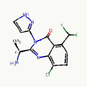 C[C@H](N)c1nc2c(Cl)ccc(C(F)F)c2c(=O)n1-c1cc[nH]n1